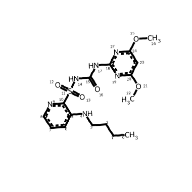 CCCCNc1cccnc1S(=O)(=O)NC(=O)Nc1nc(OC)cc(OC)n1